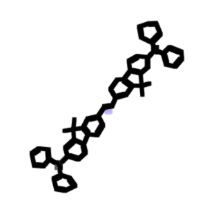 CC1(C)C2=C(CCC(/C=C/c3ccc4c(c3)C(C)(C)c3cc(N(c5ccccc5)c5ccccc5)ccc3-4)=C2)c2ccc(N(c3ccccc3)c3ccccc3)cc21